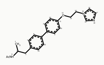 CC(=O)NC(C)Cc1ccc(-c2ccc(OCCn3ccnc3)cc2)cc1